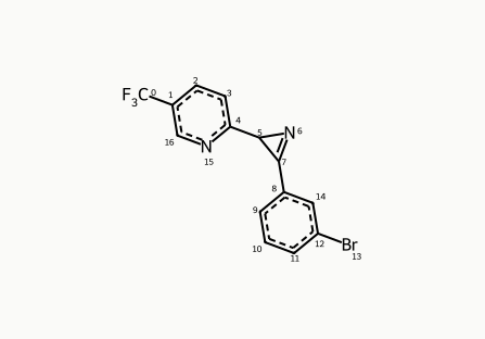 FC(F)(F)c1ccc(C2N=C2c2cccc(Br)c2)nc1